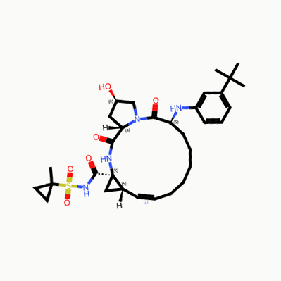 CC(C)(C)c1cccc(N[C@H]2CCCCC/C=C\[C@@H]3C[C@@]3(C(=O)NS(=O)(=O)C3(C)CC3)NC(=O)[C@@H]3C[C@@H](O)CN3C2=O)c1